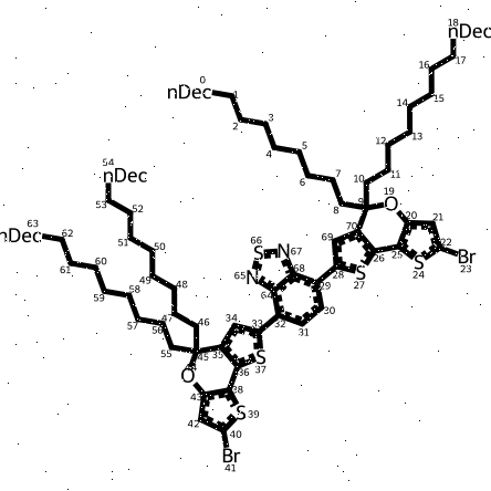 CCCCCCCCCCCCCCCCCCC1(CCCCCCCCCCCCCCCCCC)Oc2cc(Br)sc2-c2sc(-c3ccc(-c4cc5c(s4)-c4sc(Br)cc4OC5(CCCCCCCCCCCCCCCCCC)CCCCCCCCCCCCCCCCCC)c4nsnc34)cc21